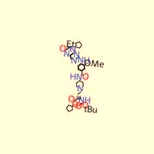 CC[C@@H]1C(=O)N(C)c2cnc(Nc3ccc(C(=O)NC4CCN(CC[C@H](NC(=O)OC(C)(C)C)C(=O)OC5CCCC5)CC4)cc3OC)nc2N1C1CCCC1